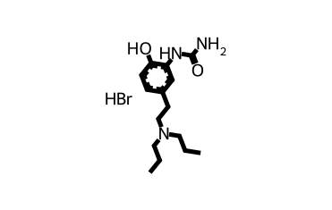 Br.CCCN(CCC)CCc1ccc(O)c(NC(N)=O)c1